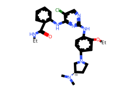 CCNC(=O)c1ccccc1Nc1nc(Nc2ccc(N3CC[C@H](N(C)C)C3)cc2OCC)ncc1Cl